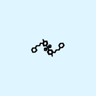 Cc1ccc(S(=O)(=O)c2ccc(C)c(CCCC3CCCCC3)c2)cc1CCCC1CCCCC1